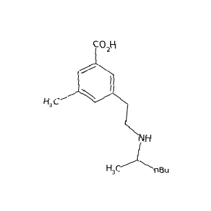 CCCCC(C)NCCc1cc(C)cc(C(=O)O)c1